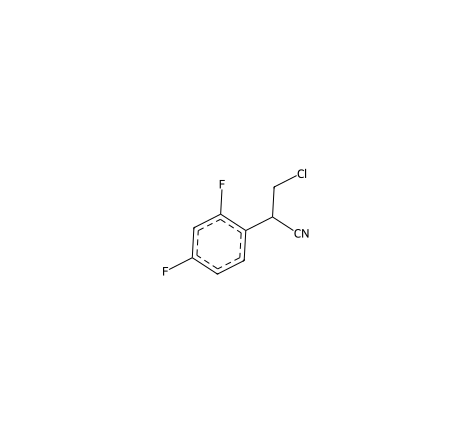 N#CC(CCl)c1ccc(F)cc1F